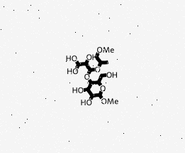 COCC(C)OC(OC1C(CO)OC(OC)C(O)C1O)C(O)C(O)O